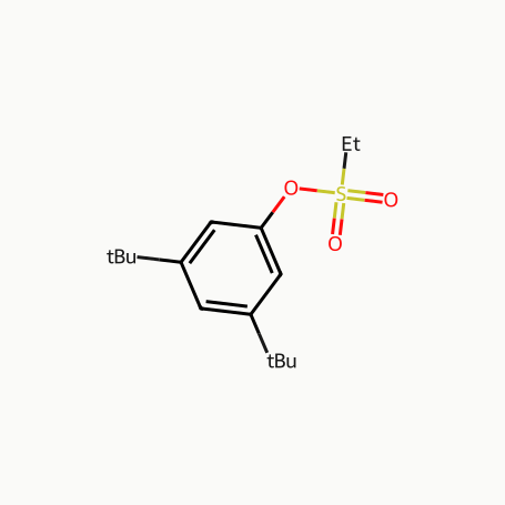 CCS(=O)(=O)Oc1cc(C(C)(C)C)cc(C(C)(C)C)c1